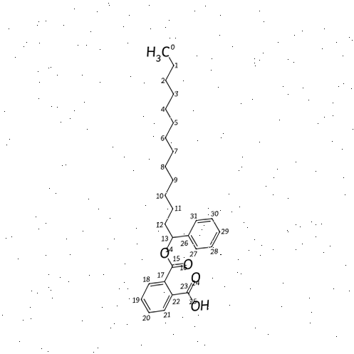 CCCCCCCCCCCCCC(OC(=O)c1ccccc1C(=O)O)c1ccccc1